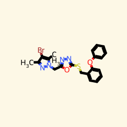 Cc1nn(Cc2nnc(SCc3ccccc3Oc3ccccc3)o2)c(C)c1Br